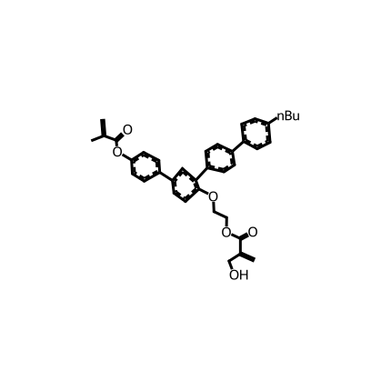 C=C(C)C(=O)Oc1ccc(-c2ccc(OCCOC(=O)C(=C)CO)c(-c3ccc(-c4ccc(CCCC)cc4)cc3)c2)cc1